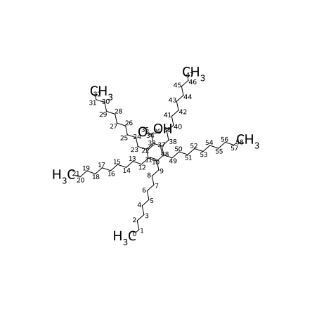 CCCCCCCCCCc1c(CCCCCCCCCC)c(CCCCCCCCCC)c(C(=O)O)c(CCCCCCCCCC)c1CCCCCCCCCC